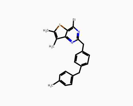 CCc1nc(Cc2ccc(Cc3ccc(C)cc3)cc2)nc2c(C)c(C)sc12